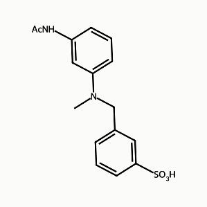 CC(=O)Nc1cccc(N(C)Cc2cccc(S(=O)(=O)O)c2)c1